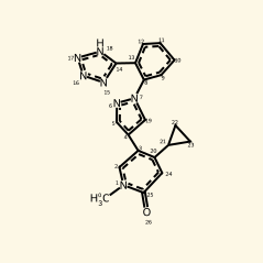 Cn1cc(-c2cnn(-c3ccccc3-c3nnn[nH]3)c2)c(C2CC2)cc1=O